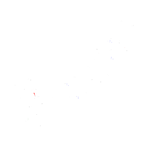 CC(C)(C)[Si](C)(C)O[C@@H]1CC(F)(F)C[C@H]1OCc1ncc(-c2ccc3nc(NC(=O)C4CC4)sc3c2)cn1